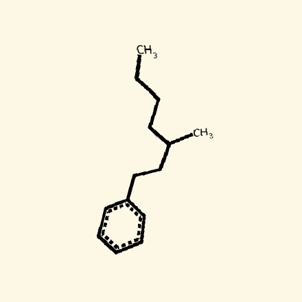 CCCCC(C)CCc1ccccc1